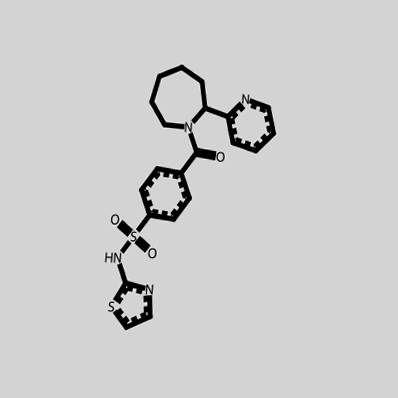 O=C(c1ccc(S(=O)(=O)Nc2nccs2)cc1)N1CCCCCC1c1ccccn1